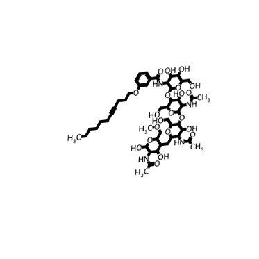 CCCCCCC#CCCCOc1cccc(C(=O)NC2C(OC3C(CO)OC(OC4C(CO)OC(CC5C(COC)OC(O)C(NC(C)=O)C5O)C(NC(C)=O)C4O)C(NC(C)=O)C3O)OC(CO)C(O)C2O)c1